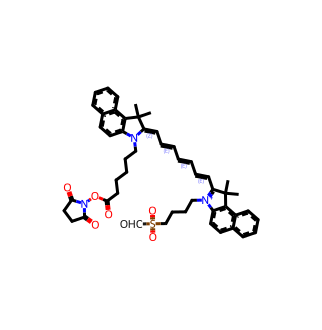 CC1(C)C(/C=C/C=C/C=C/C=C2\N(CCCCCC(=O)ON3C(=O)CCC3=O)c3ccc4ccccc4c3C2(C)C)=[N+](CCCCS(=O)(=O)C=O)c2ccc3ccccc3c21